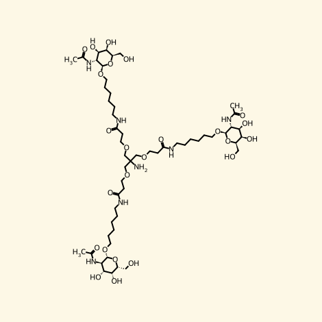 CC(=O)N[C@H]1[C@H](OCCCCCCNC(=O)CCOCC(N)(COCCC(=O)NCCCCCCO[C@@H]2O[C@H](CO)[C@H](O)[C@H](O)[C@H]2NC(C)=O)COCCC(=O)NCCCCCCO[C@@H]2O[C@H](CO)[C@H](O)[C@H](O)[C@H]2NC(C)=O)O[C@H](CO)[C@H](O)[C@@H]1O